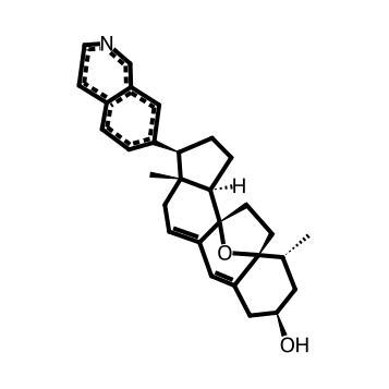 C[C@@H]1C[C@@H](O)CC2=CC3=CC[C@]4(C)[C@@H](c5ccc6ccncc6c5)CC[C@H]4[C@@]34CC[C@]21O4